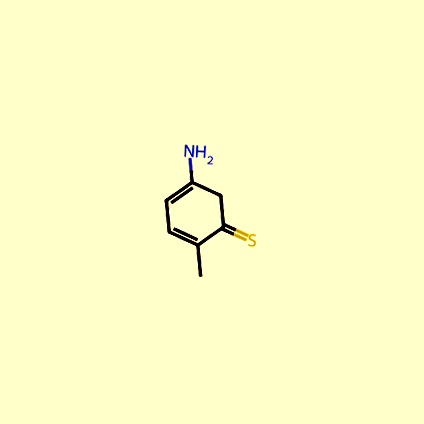 CC1=CC=C(N)CC1=S